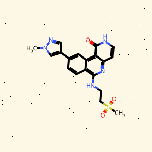 Cn1cc(-c2ccc3c(NCCS(C)(=O)=O)nc4cc[nH]c(=O)c4c3c2)cn1